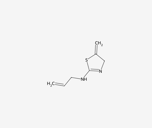 C=CCNC1=NCC(=C)S1